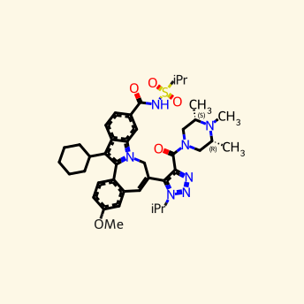 COc1ccc2c(c1)C=C(c1c(C(=O)N3C[C@@H](C)N(C)[C@@H](C)C3)nnn1C(C)C)Cn1c-2c(C2CCCCC2)c2ccc(C(=O)NS(=O)(=O)C(C)C)cc21